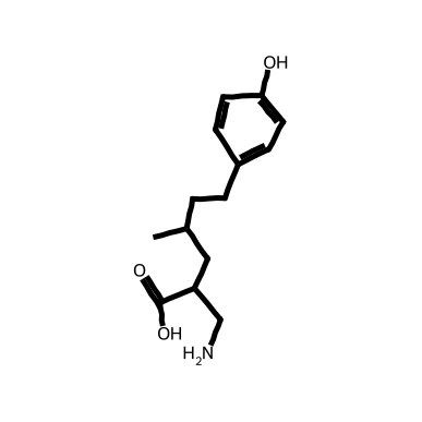 CC(CCc1ccc(O)cc1)CC(CN)C(=O)O